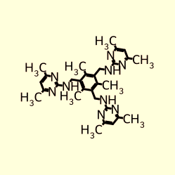 Cc1cc(C)nc(NCc2c(C)c(CNc3nc(C)cc(C)n3)c(C)c(CNc3nc(C)cc(C)n3)c2C)n1